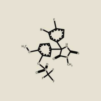 COc1ccc(C2(c3ccc(F)c(Br)c3)NC(=S)N(C)C2=O)cc1OS(=O)(=O)C(F)(F)F